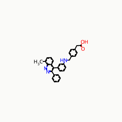 Cc1cccc2c(-c3cccc(NCc4ccc(CC(=O)O)cc4)c3)c(-c3ccccc3)nnc12